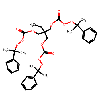 CCC(COC(=O)OOC(C)(C)c1ccccc1)(COC(=O)OOC(C)(C)c1ccccc1)COC(=O)OOC(C)(C)c1ccccc1